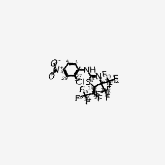 O=[N+]([O-])c1ccc(NC2=NC(C(F)(F)F)(C(F)(F)F)C(=C(F)C(F)(F)F)S2)c(Cl)c1